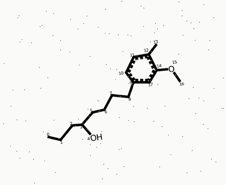 CCCC(O)CCCCc1ccc(C)c(OC)c1